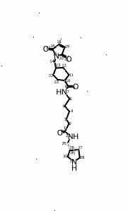 O=C(CCCCCNC(=O)C1CCC(CN2C(=O)C=CC2=O)CC1)NC[C@@H]1CCNC1